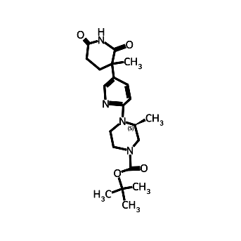 C[C@H]1CN(C(=O)OC(C)(C)C)CCN1c1ccc(C2(C)CCC(=O)NC2=O)cn1